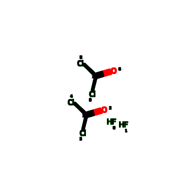 F.F.O=C(Cl)Cl.O=C(Cl)Cl